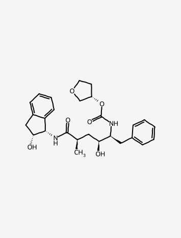 C[C@H](C[C@H](O)[C@H](Cc1ccccc1)NC(=O)O[C@H]1CCOC1)C(=O)N[C@H]1c2ccccc2C[C@H]1O